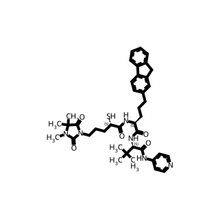 CN1C(=O)N(CCC[C@H](S)C(=O)N[C@@H](CCCc2ccc3c(c2)Cc2ccccc2-3)C(=O)N[C@H](C(=O)Nc2ccncc2)C(C)(C)C)C(=O)C1(C)C